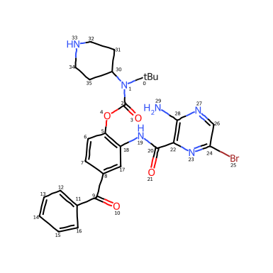 CC(C)(C)N(C(=O)Oc1ccc(C(=O)c2ccccc2)cc1NC(=O)c1nc(Br)cnc1N)C1CCNCC1